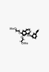 C#Cc1cccc(Nc2nncc3cc(OCCOC)c(OCCOC)cc23)c1